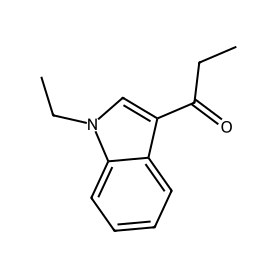 CCC(=O)c1cn(CC)c2ccccc12